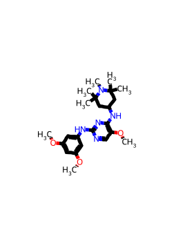 COc1cc(Nc2ncc(OC)c(NC3CC(C)(C)N(C)C(C)(C)C3)n2)cc(OC)c1